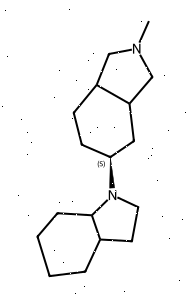 CN1CC2CC[C@H](N3CCC4CCCCC43)CC2C1